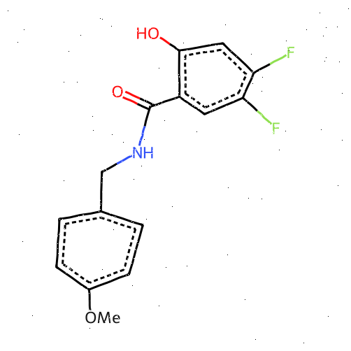 COc1ccc(CNC(=O)c2cc(F)c(F)cc2O)cc1